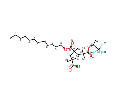 CCCCCCCCCCCCOC(=O)C(C)(CC(C)(C)C(=O)O)CC(C)(C)C(=O)OC(C)C(F)(F)F